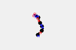 O=[N+]([O-])c1cn2c(n1)O[C@@H](COc1ccc(N3CCN(Cc4ccc(OCc5cccnc5)cc4)CC3)cc1)CC2